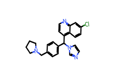 Clc1ccc2c(C(c3ccc(CN4CCCC4)cc3)n3ccnc3)ccnc2c1